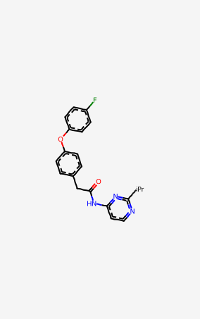 CC(C)c1nccc(NC(=O)Cc2ccc(Oc3ccc(F)cc3)cc2)n1